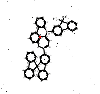 CC1(C)c2ccccc2-c2ccc(N(C3=CC=C(c4ccc5c(c4)C4(c6ccccc6-c6ccccc64)c4ccccc4-5)CC=C3)c3ccccc3-c3ccccc3)cc21